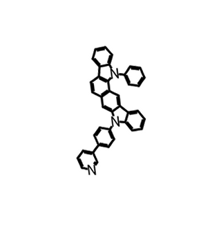 c1ccc(-n2c3ccccc3c3ccc4cc5c(cc4c32)c2ccccc2n5-c2ccc(-c3cccnc3)cc2)cc1